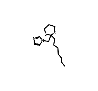 CCCCCCCC1(Cn2ccnc2)SCCCS1